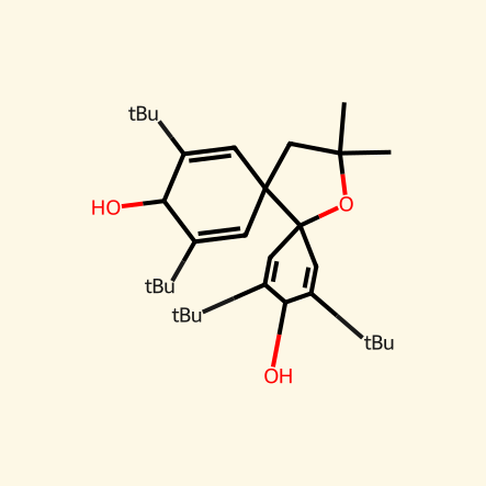 CC1(C)CC2(C=C(C(C)(C)C)C(O)C(C(C)(C)C)=C2)C2(C=C(C(C)(C)C)C(O)C(C(C)(C)C)=C2)O1